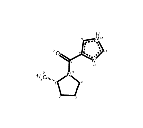 [CH2][C@H]1CCCN1C(=O)c1c[nH]cn1